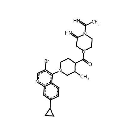 CC1CN(c2c(Br)cnc3cc(C4CC4)ccc23)CCC1C(=O)N1CCN(C(=N)C(F)(F)F)C(=N)C1